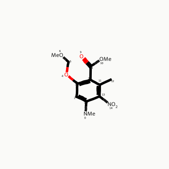 CNc1cc(OCOC)c(C(=O)OC)c(C)c1[N+](=O)[O-]